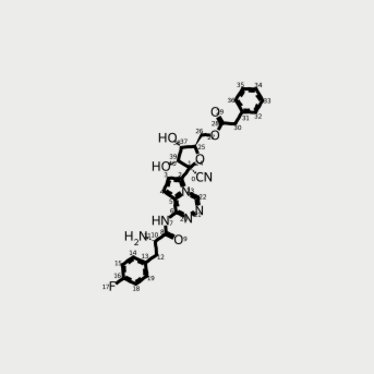 N#C[C@@]1(c2ccc3c(NC(=O)[C@@H](N)Cc4ccc(F)cc4)nncn23)O[C@H](COC(=O)Cc2ccccc2)[C@@H](O)[C@H]1O